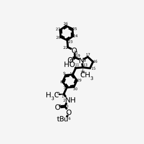 C[C@H](NC(=O)OC(C)(C)C)c1ccc(C(O)[C@]2(C)CCCN2C(=O)OCc2ccccc2)cc1